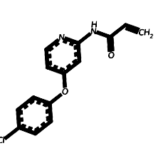 C=CC(=O)Nc1cc(Oc2ccc(Cl)cc2)ccn1